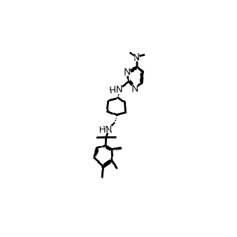 Cc1ccc(C(C)(C)NC[C@H]2CC[C@@H](Nc3nccc(N(C)C)n3)CC2)c(C)c1C